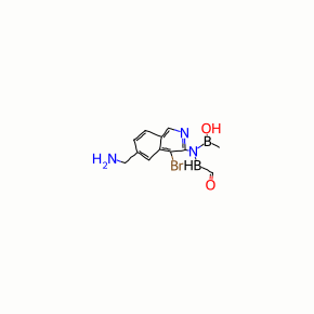 CB(O)N(BC=O)c1ncc2ccc(CN)cc2c1Br